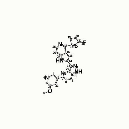 COc1cncc(-c2ccc3[nH]nc(-c4cc5c(-c6ccc(F)s6)nccc5[nH]4)c3n2)c1